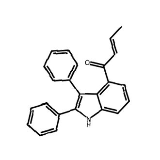 CC=CC(=O)c1cccc2[nH]c(-c3ccccc3)c(-c3ccccc3)c12